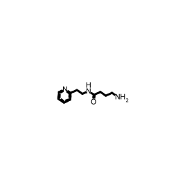 NCCCC(=O)NCCc1ccccn1